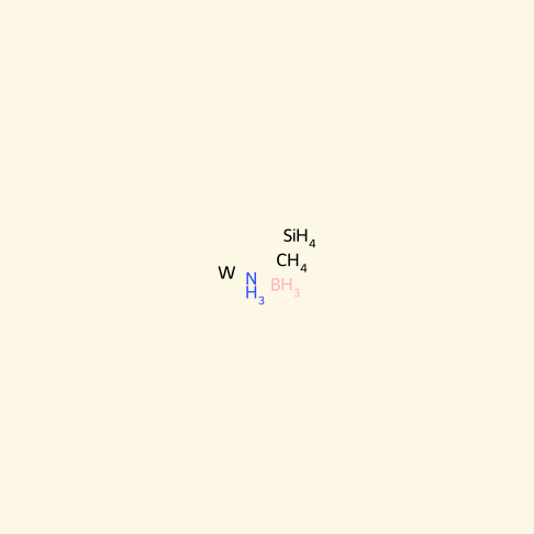 B.C.N.[SiH4].[W]